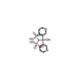 O=P(O)(O)C(C(O)(c1cccnc1)c1cccnc1)P(=O)(O)O